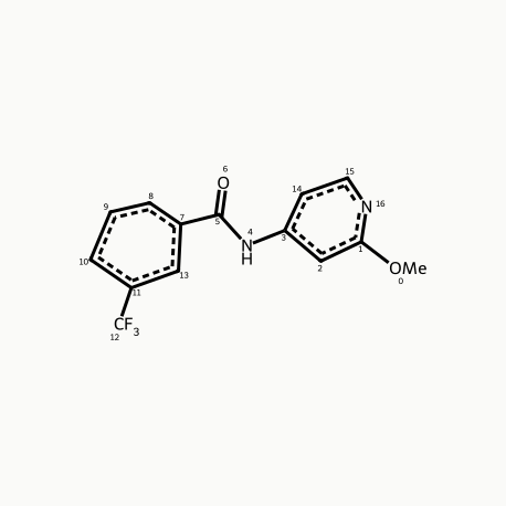 COc1cc(NC(=O)c2cccc(C(F)(F)F)c2)ccn1